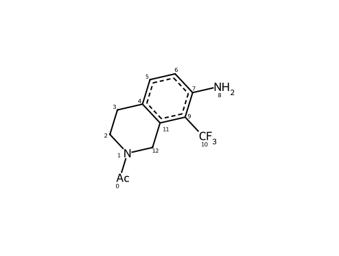 CC(=O)N1CCc2ccc(N)c(C(F)(F)F)c2C1